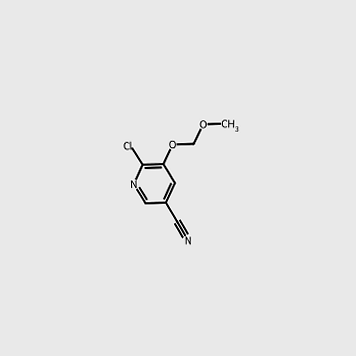 COCOc1cc(C#N)cnc1Cl